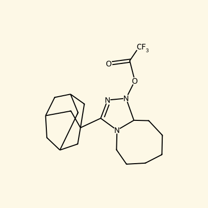 O=C(ON1N=C(C23CC4CC(CC(C4)C2)C3)N2CCCCCCC12)C(F)(F)F